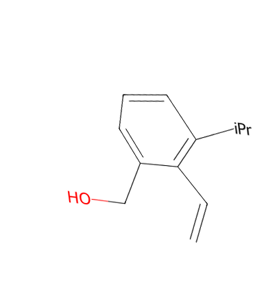 C=Cc1c(CO)cccc1C(C)C